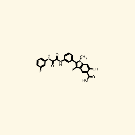 Cn1c(-c2cccc(NC(=O)C(=O)Nc3cccc(F)c3)c2)c(I)c2cc(C(=O)O)c(O)cc21